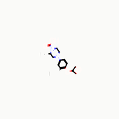 Cc1cc(N2CCN(C(=O)O)C(C)C2)ccc1OC1COC1